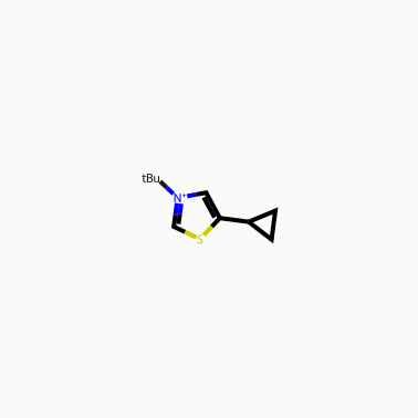 CC(C)(C)[n+]1csc(C2CC2)c1